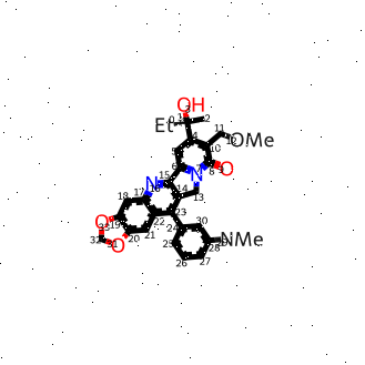 CC[C@](C)(O)c1cc2n(c(=O)c1COC)Cc1c-2nc2cc3c(cc2c1-c1cccc(NC)c1)OCO3